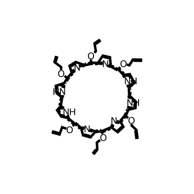 C=CCOc1c2nc(c(OCC=C)c3ccc([nH]3)c3ccc([nH]3)c(OCC=C)c3nc(c(OCC=C)c4nc(c(OCC=C)c5ccc([nH]5)c5ccc([nH]5)c(OCC=C)c5nc1C=C5)C=C4)C=C3)C=C2